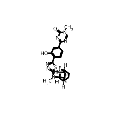 CN(c1nnc(-c2ccc(-c3ncn(C)c(=O)n3)cc2O)s1)[C@@H]1[C@@H]2CC[C@@H](NC2)[C@H]1F